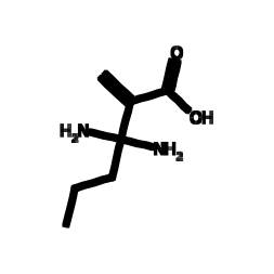 C=C(C(=O)O)C(N)(N)CCC